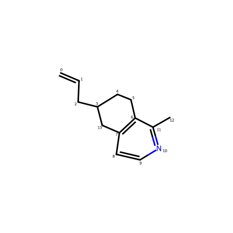 C=CCC1CCc2c(ccnc2C)C1